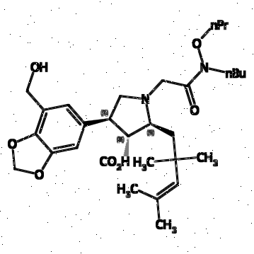 CCCCN(OCCC)C(=O)CN1C[C@H](c2cc(CO)c3c(c2)OCO3)[C@@H](C(=O)O)[C@@H]1CC(C)(C)C=C(C)C